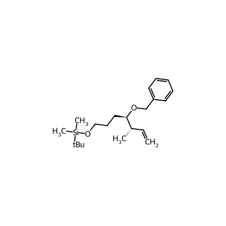 C=C[C@H](C)[C@@H](CCCO[Si](C)(C)C(C)(C)C)OCc1ccccc1